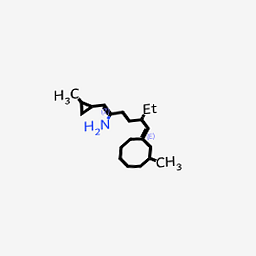 CCC(/C=C1\CCCCCC(C)C1)CC/C(N)=C/C1CC1C